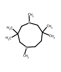 CN1CCC(C)(C)CN(C)CC(C)(C)C1